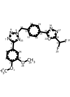 COc1ccc(-c2nnn(Cc3ccc(-c4nnc(C(F)F)o4)cc3)n2)cc1OC